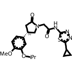 COc1ccc([C@@H]2CC(=O)N(CC(=O)Nc3nnc(C4CC4)s3)C2)cc1OC(C)C